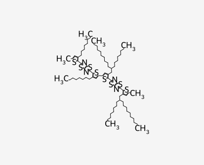 CCCCCCCCCCC(CCCCCCCC)Cc1cc(C)sc1-c1nc2sc(-c3sc(-c4cc(CCCCCCCC)c(-c5nc6sc(-c7sc(C)cc7CCCCCCCC)nc6s5)s4)cc3CC(CCCCCCCC)CCCCCCCCCC)nc2s1